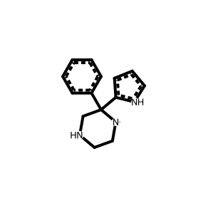 c1ccc(C2(c3ccc[nH]3)CNCC[N]2)cc1